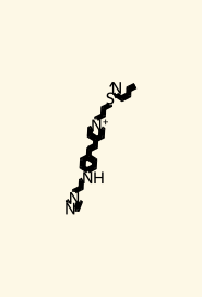 C=C/C=C\C(=N\C)SCCCC[n+]1ccc(/C=C/c2ccc(NCCCn3ccnc3)cc2)cc1